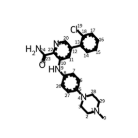 CN1CCN(c2ccc(Nc3cc(-c4ccccc4Cl)cnc3C(N)=O)cc2)CC1